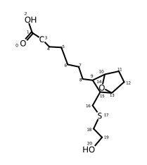 O=C(O)CCCCCCC1C2CCC(O2)C1CSCCO